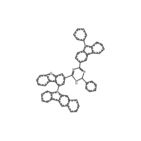 c1ccc(C2N=C(c3ccc4c(c3)c3ccccc3n4-c3ccccc3)N=C(c3cc(-n4c5ccccc5c5cc6ccccc6cc54)c4c(c3)oc3ccccc34)N2)cc1